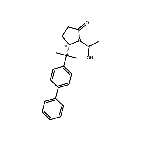 CB(O)N1C(=O)CC[C@H]1C(C)(C)c1ccc(-c2ccccc2)cc1